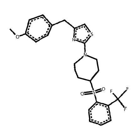 COc1ccc(Cc2csc(N3CCC(S(=O)(=O)c4ccccc4C(F)(F)F)CC3)n2)cc1